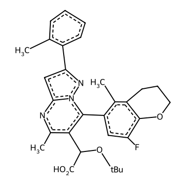 Cc1ccccc1-c1cc2nc(C)c(C(OC(C)(C)C)C(=O)O)c(-c3cc(F)c4c(c3C)CCCO4)n2n1